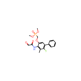 COP(=O)(COc1cc(-c2ccccc2)c(F)c(C)c1NC(=O)C=O)OC